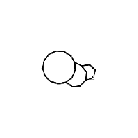 C1CCCCC2CCC3CC(CCS3)C(CCCC1)CC2